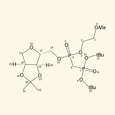 COCCOP(=O)(CP(=O)(OC(C)(C)C)OC(C)(C)C)OC[C@H]1OC[C@@H]2OC(C)(C)O[C@@H]21